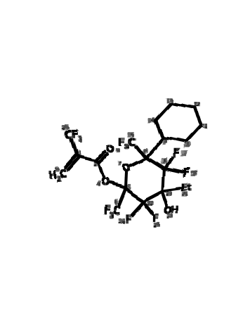 C=C(C(=O)OC1(C(F)(F)F)OC(C2CCCCC2)(C(F)(F)F)C(F)(F)C(O)(CC)C1(F)F)C(F)(F)F